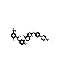 Cc1ccc(NC(=O)c2cc(C(F)(F)F)ccc2F)cc1N1CCc2nc(Nc3ccc(N4CCN(C)CC4)cc3)ncc2C1=O